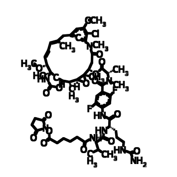 COc1cc2cc(c1Cl)N(C)C(=O)C[C@H](OC(=O)[C@H](C)N(C)C(=O)c1cc(F)c(NC(=O)[C@H](CCCNC(N)=O)NC(=O)[C@@H](NC(=O)CCCCC(=O)ON3C(=O)CCC3=O)C(C)C)cc1F)[C@]1(C)O[C@H]1[C@H](C)[C@@H]1C[C@@](O)(NC(=O)O1)[C@H](OC)/C=C/C=C(\C)C2